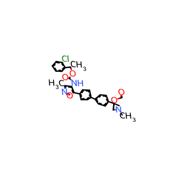 Cc1noc(-c2ccc(-c3ccc(C4(OC=O)CN(C)C4)cc3)cc2)c1NC(=O)O[C@H](C)c1ccccc1Cl